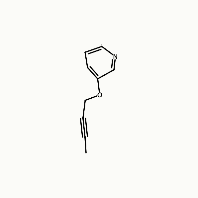 CC#CCOc1cc[c]nc1